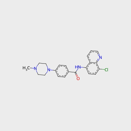 CN1CCN(c2ccc(C(=O)Nc3ccc(Cl)c4ncccc34)cc2)CC1